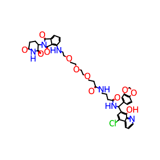 O=C(CCOCCOCCOCCNc1cccc2c1C(=O)N(C1CCC(=O)NC1=O)C2=O)NCCCC(=O)NC(c1ccc2c(c1)OCO2)c1cc(Cl)c2cccnc2c1O